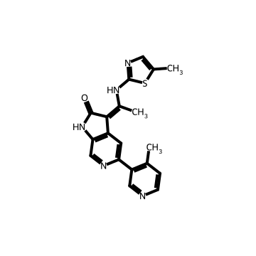 C/C(Nc1ncc(C)s1)=C1/C(=O)Nc2cnc(-c3cnccc3C)cc21